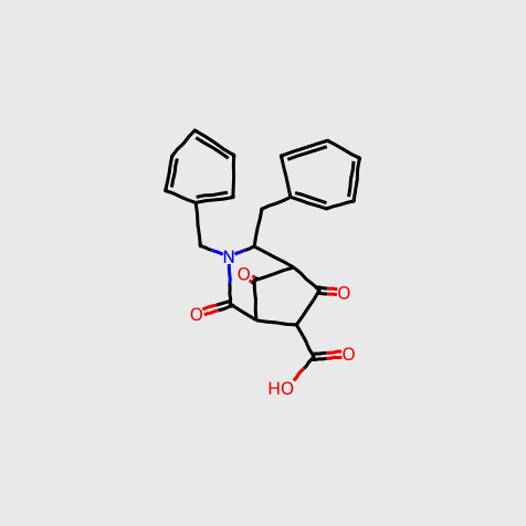 O=C(O)C1C(=O)C2C(=O)C1C(=O)N(Cc1ccccc1)C2Cc1ccccc1